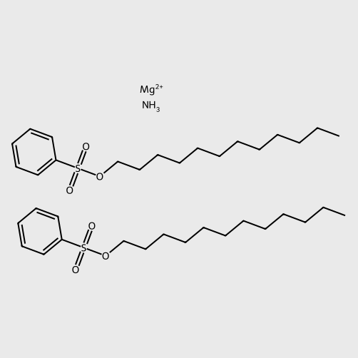 CCCCCCCCCCCCOS(=O)(=O)c1ccccc1.CCCCCCCCCCCCOS(=O)(=O)c1ccccc1.N.[Mg+2]